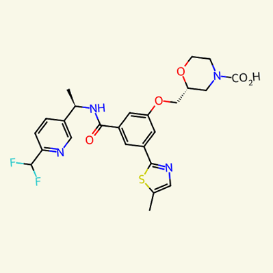 Cc1cnc(-c2cc(OC[C@H]3CN(C(=O)O)CCO3)cc(C(=O)N[C@H](C)c3ccc(C(F)F)nc3)c2)s1